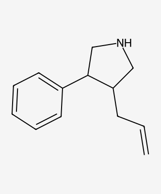 C=CCC1CNCC1c1ccccc1